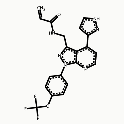 C=CC(=O)NCc1nn(-c2ccc(OC(F)(F)F)cc2)c2nccc(-c3cc[nH]n3)c12